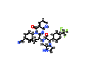 CC(c1nc2ncccc2c(=O)n1-c1ccc(C#N)cc1)N(Cc1ncc[nH]1)C(=O)Cc1ccc(C(F)(F)F)cc1